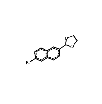 Brc1ccc2cc(C3OCCO3)ccc2c1